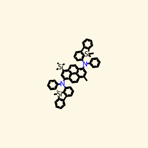 Cc1cc(N(c2ccccc2)c2cccc3c2[Si](C)(C)c2ccccc2-3)c2ccc3c([Si](C)(C)C)cc(N(c4ccccc4)c4cccc5c4[Si](C)(C)c4ccccc4-5)c4ccc1c2c43